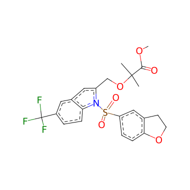 COC(=O)C(C)(C)OCc1cc2cc(C(F)(F)F)ccc2n1S(=O)(=O)c1ccc2c(c1)CCO2